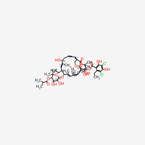 CCc1c(Cl)c(O)c(Cl)c(O)c1C(=O)O[C@@H]1[C@@H](O)[C@@H](C)[C@@H](OC/C2=C\C=C\C[C@H](O)/C(C)=C/[C@H](CC)C(O[C@@H]3OC(C)(C)C(OC(=O)C(C)C)[C@H](O)[C@@H]3O)/C(C)=C/C(C)=C/CC([C@@H](C)O)OC2=O)O[C@H]1C